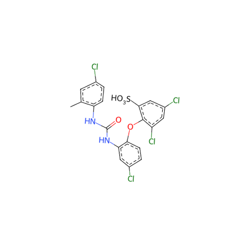 Cc1cc(Cl)ccc1NC(=O)Nc1cc(Cl)ccc1Oc1c(Cl)cc(Cl)cc1S(=O)(=O)O